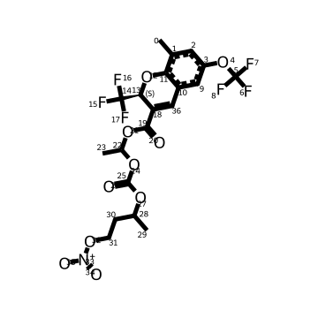 Cc1cc(OC(F)(F)F)cc2c1O[C@H](C(F)(F)F)C(C(=O)OC(C)OC(=O)OC(C)CCO[N+](=O)[O-])=C2